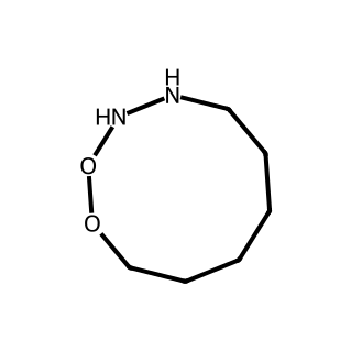 C1CCCOONNCC1